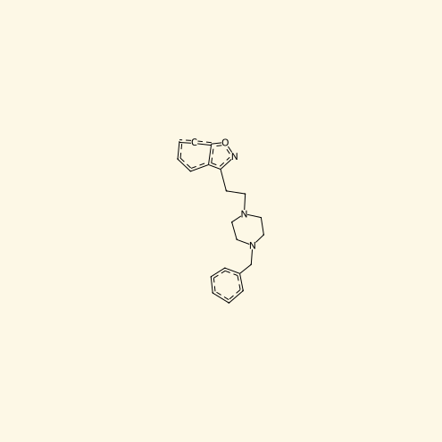 c1ccc(CN2CCN(CCc3noc4ccccc34)CC2)cc1